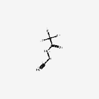 C#CCNC(=O)C(F)(F)F